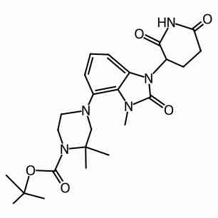 Cn1c(=O)n(C2CCC(=O)NC2=O)c2cccc(N3CCN(C(=O)OC(C)(C)C)C(C)(C)C3)c21